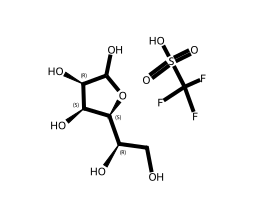 O=S(=O)(O)C(F)(F)F.OC[C@@H](O)[C@@H]1OC(O)[C@H](O)[C@@H]1O